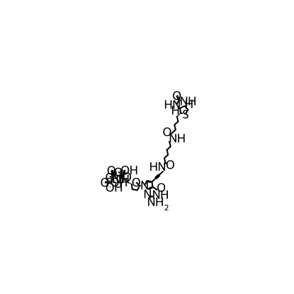 Nc1nc2c(c(C#CCNC(=O)CCCCCNC(=O)CCCC[C@@H]3SC[C@@H]4NC(=O)N[C@@H]43)cn2[C@H]2CC[C@@H](COP(=O)(O)OP(=O)(O)OP(=O)(O)O)O2)c(=O)[nH]1